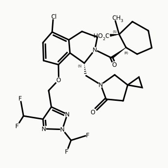 C[C@]1(C(=O)O)CCCC[C@H]1C(=O)N1CCc2c(Cl)ccc(OCc3nn(C(F)F)nc3C(F)F)c2[C@H]1CN1CC2(CC2)CC1=O